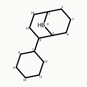 B1C2CCCC1C(C1CCCCC1)CC2